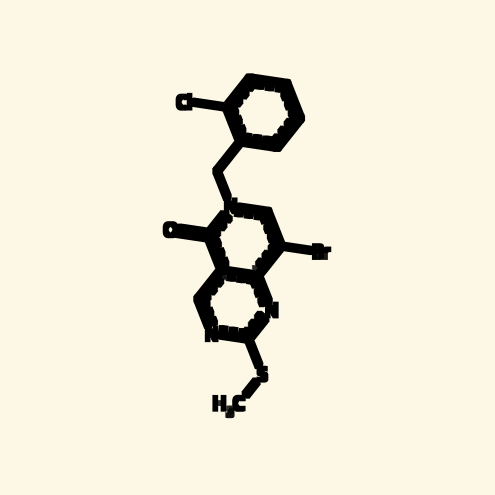 CSc1ncc2c(=O)n(Cc3ccccc3Cl)cc(Br)c2n1